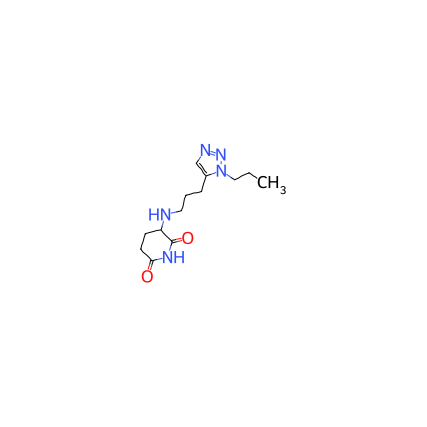 CCCn1nncc1CCCNC1CCC(=O)NC1=O